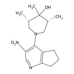 C[C@@H]1CN(c2c([N+](=O)[O-])cnc3c2CCC3)C[C@H](C)C1(C)O